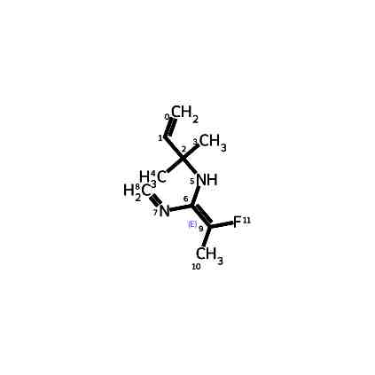 C=CC(C)(C)N/C(N=C)=C(/C)F